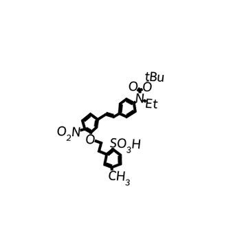 CCN(C(=O)OC(C)(C)C)c1ccc(/C=C/c2ccc([N+](=O)[O-])c(OCCc3cc(C)ccc3S(=O)(=O)O)c2)cc1